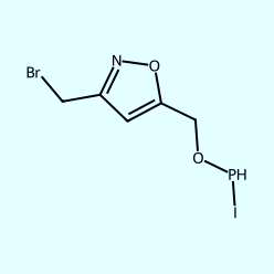 BrCc1cc(COPI)on1